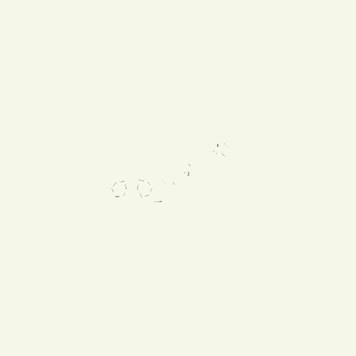 CNC(=S)NCCCC(=O)NCC(=O)NC(CC(=O)O)c1ccc(-c2ccccc2)cc1